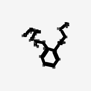 CCC(C)[O-].CCC(C)[O-].CCS[CH2][Sn+2][c]1ccccc1CN